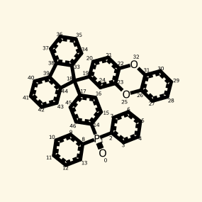 O=P(c1ccccc1)(c1ccccc1)c1ccc(C2(c3ccc4c(c3)Oc3ccccc3O4)c3ccccc3-c3ccccc32)cc1